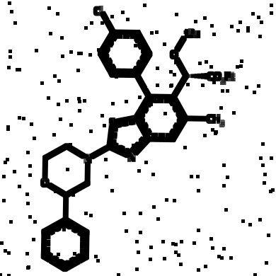 CCOC(=O)[C@@H](OC(C)(C)C)c1c(C)cc2nc(N3CCOC(c4ccccc4)C3)sc2c1-c1ccc(Cl)cc1